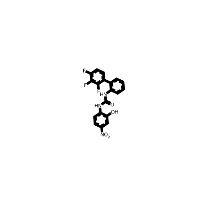 O=C(Nc1ccc([N+](=O)[O-])cc1O)Nc1ccccc1-c1ccc(F)c(F)c1F